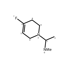 CNC(C)N1CC=C(F)CC1